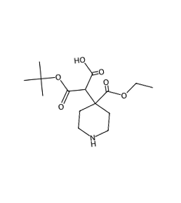 CCOC(=O)C1(C(C(=O)O)C(=O)OC(C)(C)C)CCNCC1